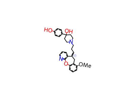 COc1cccc2c1C/C(=C/CCN1CCC(O)(c3ccc(O)cc3)CC1)c1cccnc1O2